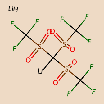 [LiH].[Li][C](S(=O)(=O)C(F)(F)F)(S(=O)(=O)C(F)(F)F)S(=O)(=O)C(F)(F)F